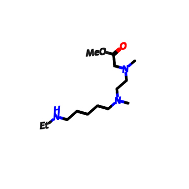 CCNCCCCCN(C)CCN(C)CC(=O)OC